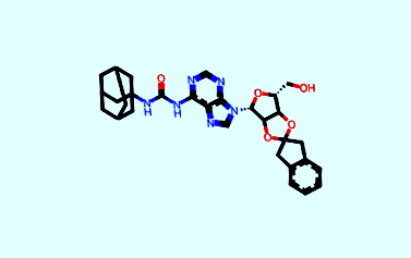 O=C(Nc1ncnc2c1ncn2[C@@H]1O[C@H](CO)C2OC3(Cc4ccccc4C3)OC21)NC12CC3CC(CC(C3)C1)C2